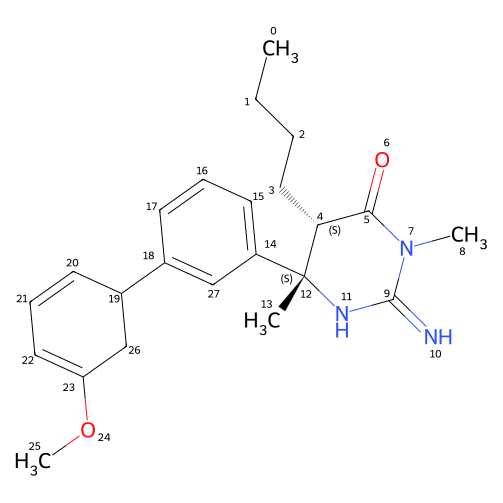 CCCC[C@@H]1C(=O)N(C)C(=N)N[C@]1(C)c1cccc(C2C=CC=C(OC)C2)c1